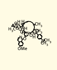 COc1ccc2c(O[C@@H]3C[C@H]4C(=O)N[C@]5(C(=O)NS(=O)(=O)C6(C)CC6)C[C@H]5C=CCC[C@@H](C)C[C@@H](C)[C@H](NC(=O)c5ccc(N(C)C)cc5)C(=O)N4C3)nccc2c1